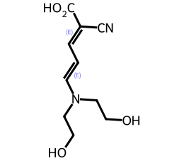 N#C/C(=C\C=C\N(CCO)CCO)C(=O)O